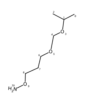 CC(C)OCOCCCON